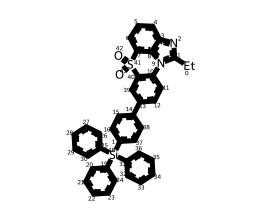 CCc1nc2cccc3c2n1-c1ccc(-c2ccc([Si](c4ccccc4)(c4ccccc4)c4ccccc4)cc2)cc1S3(=O)=O